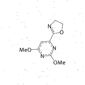 COc1cc(C2=NCCO2)nc(OC)n1